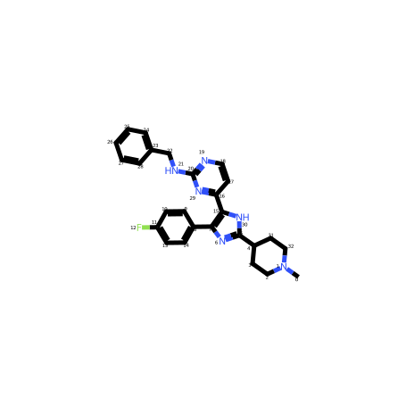 CN1CCC(c2nc(-c3ccc(F)cc3)c(-c3ccnc(NCc4ccccc4)n3)[nH]2)CC1